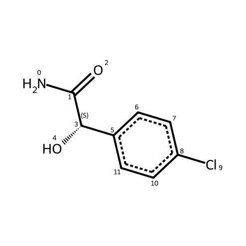 NC(=O)[C@@H](O)c1ccc(Cl)cc1